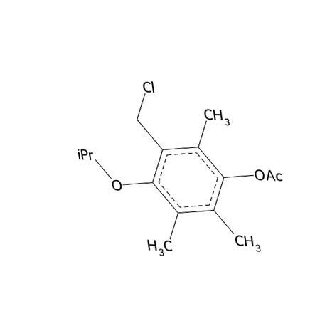 CC(=O)Oc1c(C)c(C)c(OC(C)C)c(CCl)c1C